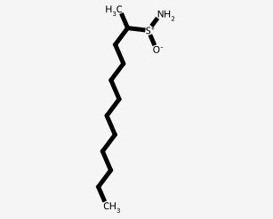 CCCCCCCCCCC(C)[S+](N)[O-]